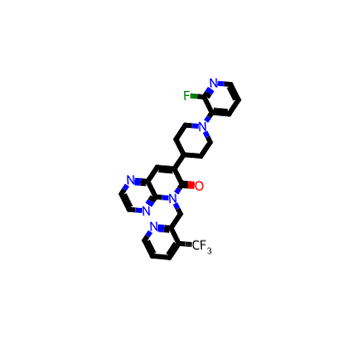 O=c1c(C2CCN(c3cccnc3F)CC2)cc2nccnc2n1Cc1ncccc1C(F)(F)F